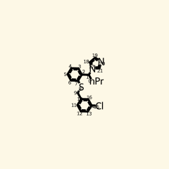 CCCC(c1ccccc1SCc1cccc(Cl)c1)n1ccnc1